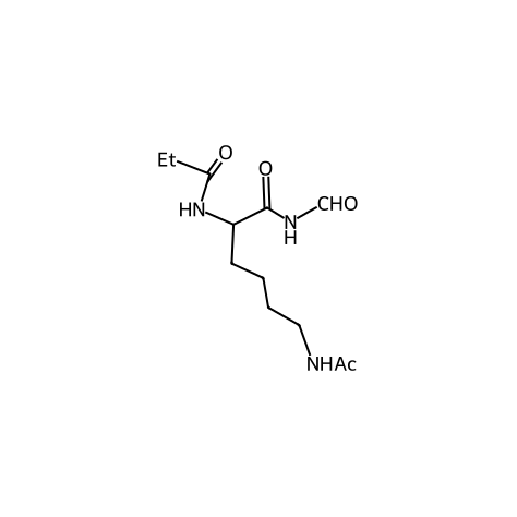 CCC(=O)NC(CCCCNC(C)=O)C(=O)NC=O